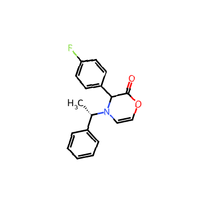 C[C@@H](c1ccccc1)N1C=COC(=O)C1c1ccc(F)cc1